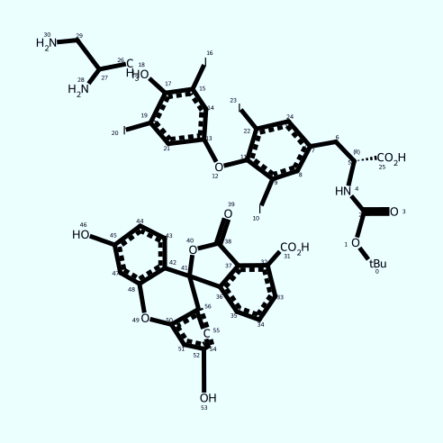 CC(C)(C)OC(=O)N[C@H](Cc1cc(I)c(Oc2cc(I)c(O)c(I)c2)c(I)c1)C(=O)O.CC(N)CN.O=C(O)c1cccc2c1C(=O)OC21c2ccc(O)cc2Oc2cc(O)ccc21